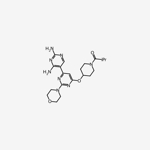 CC(C)C(=O)N1CCC(Oc2cc(-c3cnc(N)nc3N)nc(N3CCOCC3)n2)CC1